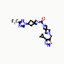 O=C(N1CC2(CC(n3cnc(C(F)(F)F)n3)C2)C1)N1CC2(CN(Cc3snnc3C3CC3)C2)C1